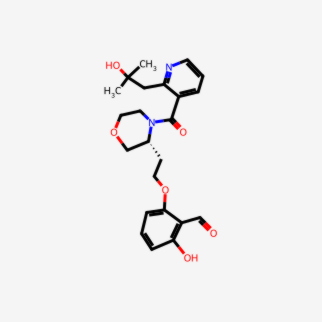 CC(C)(O)Cc1ncccc1C(=O)N1CCOC[C@H]1CCOc1cccc(O)c1C=O